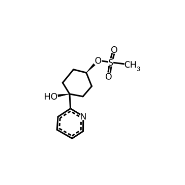 CS(=O)(=O)O[C@H]1CC[C@](O)(c2ccccn2)CC1